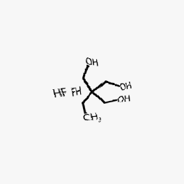 CCC(CO)(CO)CO.F.F